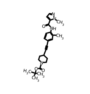 Cc1cc(C#CC2CCN(C(=O)OC(C)(C)C)CC2)ccc1NC(=O)c1ccnn1C